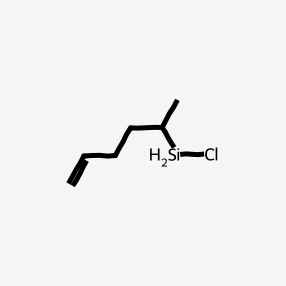 C=CCCC(C)[SiH2]Cl